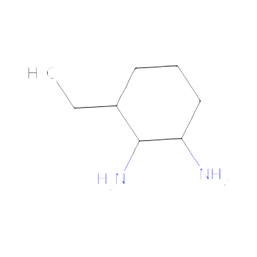 CCC1CCCC(N)C1N